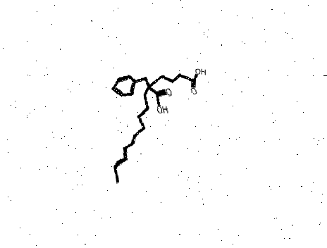 CCCCCCCCCCC(CCCC(=O)O)(Cc1ccccc1)C(=O)O